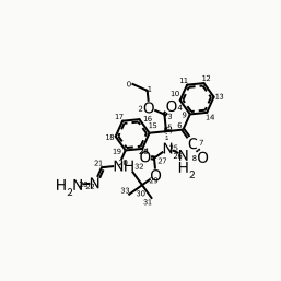 CCOC(=O)[C@@](C(=C=O)c1ccccc1)(c1cccc(NC=NN)c1)N(N)C(=O)OC(C)(C)C